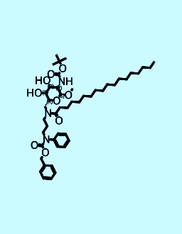 CCCCCCCCCCCCCCCCCC(=O)N(CCCN(C(=O)OCc1ccccc1)c1ccccc1)C[C@H]1O[C@H](OC)[C@H](NC(=O)OC(C)(C)C)[C@@H](O)[C@@H]1O